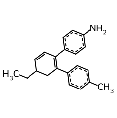 CCC1C=CC(c2ccc(N)cc2)=C(c2ccc(C)cc2)C1